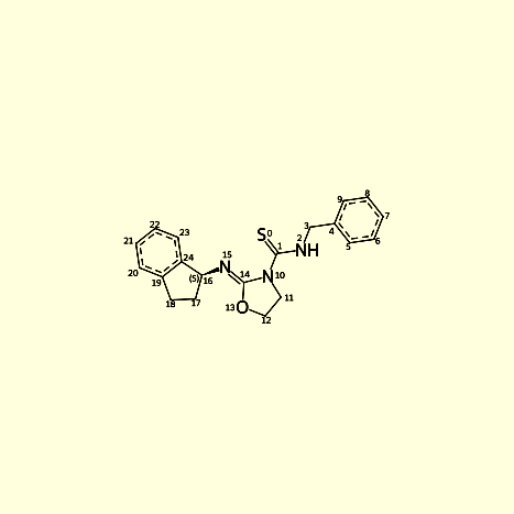 S=C(NCc1ccccc1)N1CCOC1=N[C@H]1CCc2ccccc21